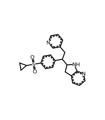 O=S(=O)(c1ccc(C(Cc2cccnc2)C2Cc3cccnc3N2)cc1)C1CC1